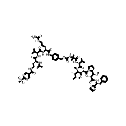 CC[C@H](C)[C@@H]([C@@H](CC(=O)N1CCC[C@H]1[C@H](OC)[C@@H](C)C(=O)N[C@@H](Cc1ccccc1)c1nccs1)OC)N(C)C(=O)[C@@H](NC(=O)C(C)(C)NC(=O)OCc1ccc(NC(=O)[C@H](CCCNC(N)=O)NC(=O)[C@@H](NC(=O)[C@H](CCNC(=O)c2cnc(S(C)(=O)=O)nc2)NC(C)=O)C(C)C)cc1)C(C)C